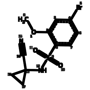 COc1cc(Br)ccc1S(=O)(=O)NC1(C#N)CC1